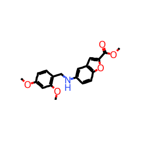 COC(=O)c1cc2cc(NCc3ccc(OC)cc3OC)ccc2o1